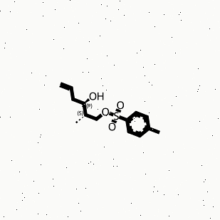 C=CC[C@@H](O)[C@@H](C)COS(=O)(=O)c1ccc(C)cc1